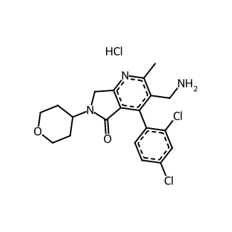 Cc1nc2c(c(-c3ccc(Cl)cc3Cl)c1CN)C(=O)N(C1CCOCC1)C2.Cl